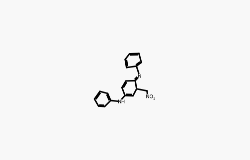 O=[N+]([O-])CC1C=C(Nc2ccccc2)C=CC1=Nc1ccccc1